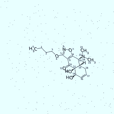 CCCCOc1noc2c1C(=O)[C@@]1(O)[C@H](O)C=CC[C@H]1[C@@H]2N(C)C